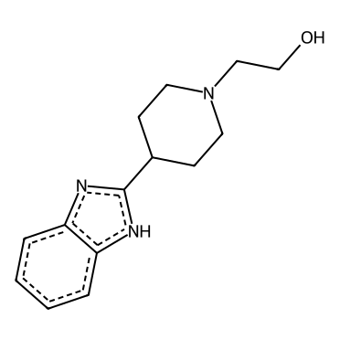 OCCN1CCC(c2nc3ccccc3[nH]2)CC1